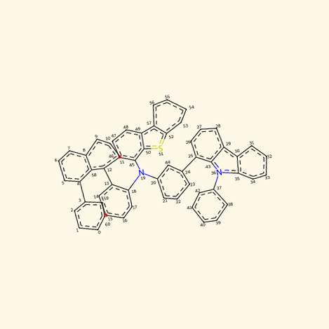 c1ccc(-c2cccc3cccc(-c4ccccc4N(c4cccc(-c5cccc6c7ccccc7n(-c7ccccc7)c56)c4)c4cccc5c4sc4ccccc45)c23)cc1